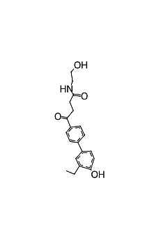 CCc1cc(-c2ccc(C(=O)CCC(=O)NCCO)cc2)ccc1O